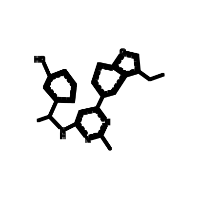 CCc1coc2ccc(-c3cc(NC(C)c4cccc(O)c4)nc(C)n3)cc12